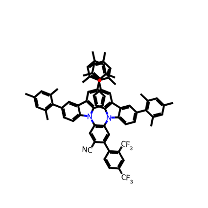 Cc1cc(C)c(-c2ccc3c(c2)c2cc(-c4c(C)cc(C)cc4C)ccc2n3-c2cc(C#N)c(-c3ccc(C(F)(F)F)cc3C(F)(F)F)cc2-n2c3ccc(-c4c(C)cc(C)cc4C)cc3c3cc(-c4c(C)cc(C)cc4C)ccc32)c(C)c1